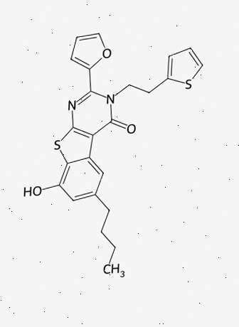 CCCCc1cc(O)c2sc3nc(-c4ccco4)n(CCc4cccs4)c(=O)c3c2c1